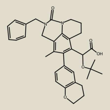 Cc1c2c3c(c(C(OC(C)(C)C)C(=O)O)c1-c1ccc4c(c1)CCCO4)CCCN3C(=O)N(Cc1ccccc1)C2